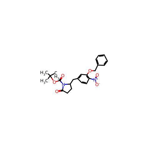 CC(C)(C)OC(=O)N1C(=O)CCC1Cc1ccc([N+](=O)[O-])c(OCc2ccccc2)c1